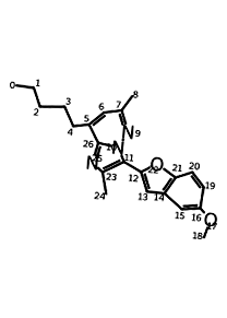 CCCCCc1cc(C)nn2c(-c3cc4cc(OC)ccc4o3)c(C)nc12